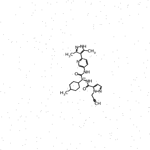 C#CCn1nccc1C(=O)N[C@H](C(=O)Nc1ccc(-c2c(C)n[nH]c2C)nc1)C1CCC(C)CC1